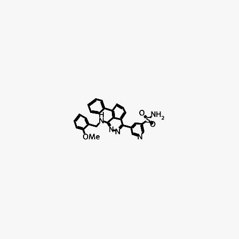 COc1ccccc1CNc1nnc(-c2cncc(S(N)(=O)=O)c2)c2cccc(-c3ccccc3)c12